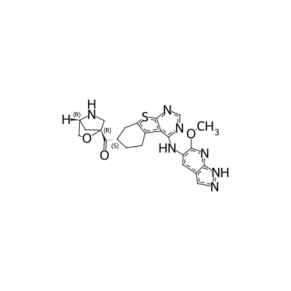 COc1nc2[nH]ncc2cc1Nc1ncnc2sc3c(c12)CC[C@H](C(=O)[C@@]12CN[C@@H](CO1)C2)C3